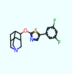 Fc1cc(F)cc(-c2cnc(OC3C4CC5CC3CN(C5)C4)s2)c1